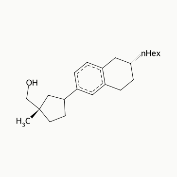 CCCCCC[C@@H]1CCc2cc(C3CC[C@](C)(CO)C3)ccc2C1